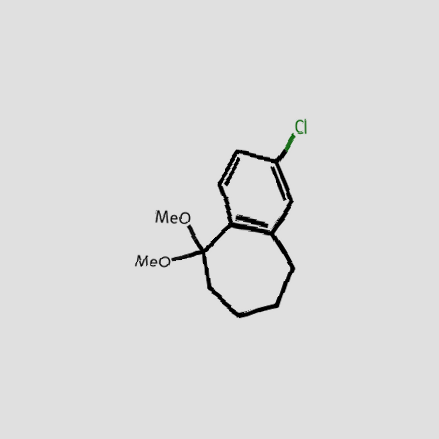 COC1(OC)CCCCc2cc(Cl)ccc21